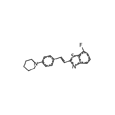 Fc1cccc2nc(C=Cc3ccc(N4CCCCC4)cc3)sc12